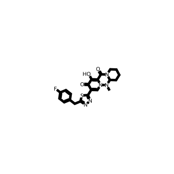 CN1C2CCCCN2C(=O)c2c(O)c(=O)c(-c3nnc(Cc4ccc(F)cc4)s3)cn21